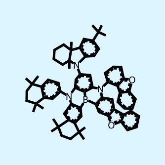 CC(C)(C)c1ccc2c(c1)C1(C)CCCCC1(C)N2c1cc2c3c(c1)N(c1cccc4oc5ccccc5c14)c1cc4c(cc1B3c1cc3c(cc1N2c1ccc2c(c1)C(C)(C)CCC2(C)C)C(C)(C)CCC3(C)C)oc1ccccc14